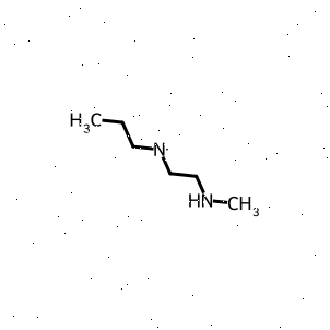 CCC[N]CCNC